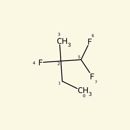 CCC(C)(F)C(F)F